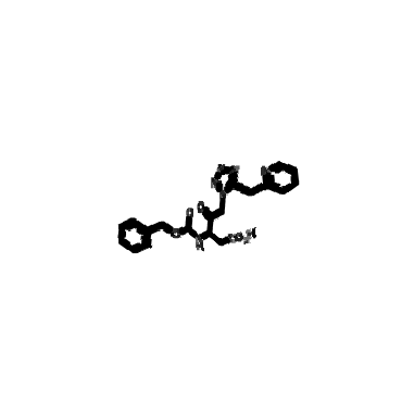 O=C(O)CC(NC(=O)OCc1ccccc1)C(=O)Cn1nnnc1Cc1ccccn1